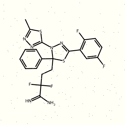 Cc1nnc(N2N=C(c3cc(F)ccc3F)SC2(CCC(F)(F)C(=N)N)c2ccccc2)s1